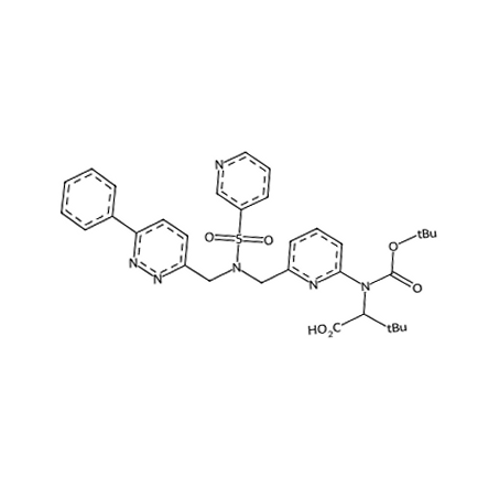 CC(C)(C)OC(=O)N(c1cccc(CN(Cc2ccc(-c3ccccc3)nn2)S(=O)(=O)c2cccnc2)n1)C(C(=O)O)C(C)(C)C